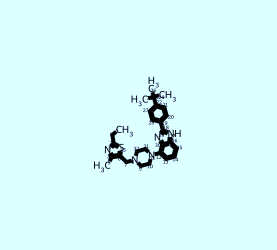 CCc1nc(C)c(CN2CCN(c3cccc4[nH]c(-c5ccc(C(C)(C)C)cc5)nc34)CC2)s1